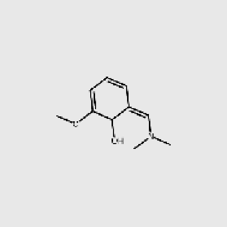 COC1=CC=C/C(=C/N(C)C)C1O